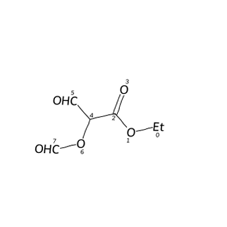 CCOC(=O)C(C=O)OC=O